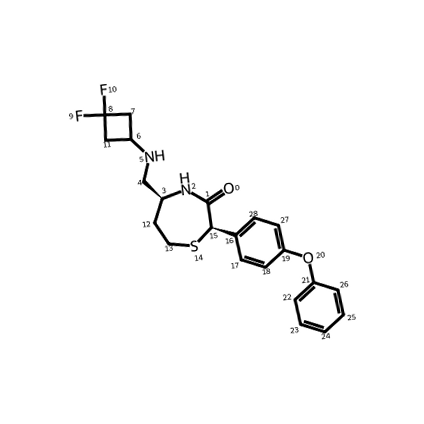 O=C1N[C@H](CNC2CC(F)(F)C2)CCS[C@@H]1c1ccc(Oc2ccccc2)cc1